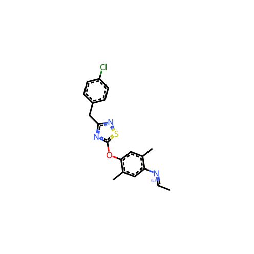 C/C=N/c1cc(C)c(Oc2nc(Cc3ccc(Cl)cc3)ns2)cc1C